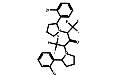 O=C(C(N1CCCC1c1ccccc1Br)C(F)(F)F)C(N1CCCC1c1ccccc1Br)C(F)(F)F